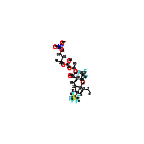 CCc1cc(S(F)(F)(F)(F)F)cc2c1O[C@H](C(F)(F)F)C(C(=O)OC(C)OC(=O)OC(C)CCO[N+](=O)[O-])=C2